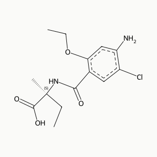 CCOc1cc(N)c(Cl)cc1C(=O)N[C@@](C)(CC)C(=O)O